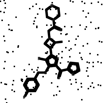 CC1C(c2nn(C(=O)c3ccco3)c(SCc3ccc(F)cc3)c2F)CN1CC(=O)N1CCOCC1